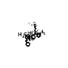 CNCC(CC1CCCCC1)NC(=O)N1CCCC(C(O)(CCCCOC)c2cccc(Cl)c2C)C1